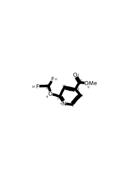 COC(=O)c1ccnc(OC(F)F)c1